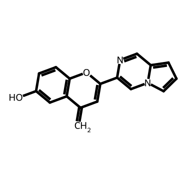 C=C1C=C(c2cn3cccc3cn2)Oc2ccc(O)cc21